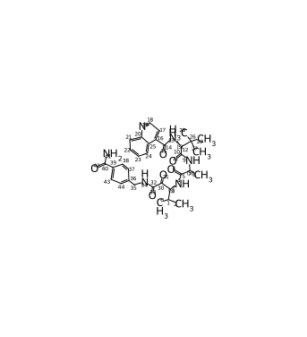 CC(C)[C@H](NC(=O)[C@H](C)NC(=O)[C@@H](NC(=O)c1ccnc2ccccc12)C(C)(C)C)C(=O)C(=O)NCc1ccc(C(N)=O)cc1